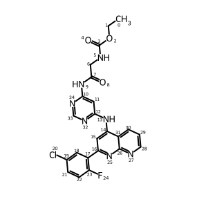 CCOC(=O)NCC(=O)Nc1cc(Nc2cc(-c3cc(Cl)ccc3F)nc3ncccc23)ncn1